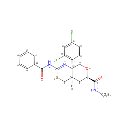 CCOC(=O)NC(=O)[C@H]1C[C@H]2CSC(NC(=O)c3ccccc3)=N[C@@]2(c2ccc(F)cc2F)CO1